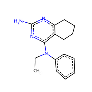 CCN(c1ccccc1)c1nc(N)nc2c1CCCC2